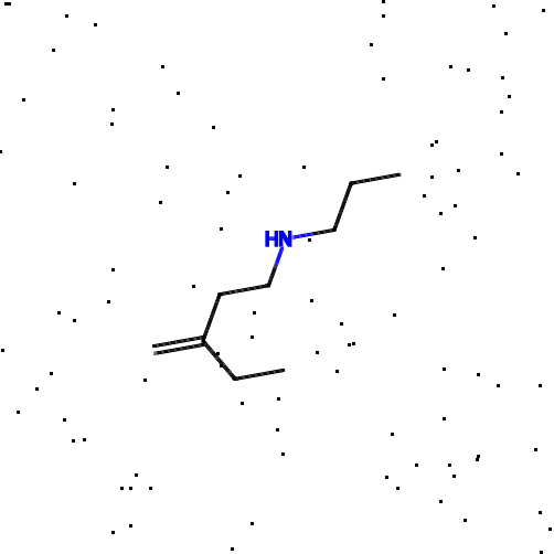 C=C(CC)CCNCCC